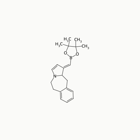 CC1(C)OB(C=C2C=CN3CCc4ccccc4CC23)OC1(C)C